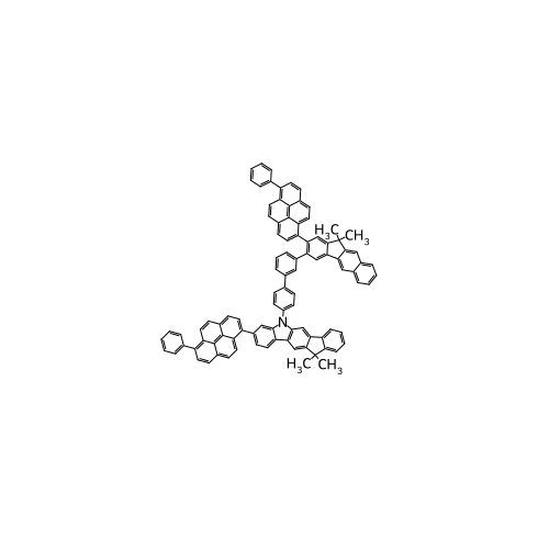 CC1(C)c2cc(-c3ccc4ccc5c(-c6ccccc6)ccc6ccc3c4c65)c(-c3cccc(-c4ccc(-n5c6cc(-c7ccc8ccc9c(-c%10ccccc%10)ccc%10ccc7c8c%109)ccc6c6cc7c(cc65)-c5ccccc5C7(C)C)cc4)c3)cc2-c2cc3ccccc3cc21